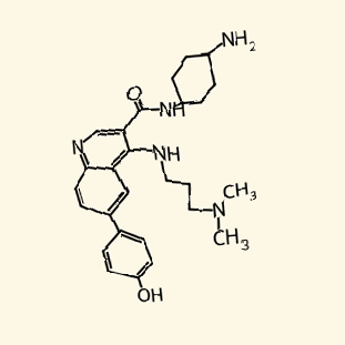 CN(C)CCCNc1c(C(=O)NC2CCC(N)CC2)cnc2ccc(-c3ccc(O)cc3)cc12